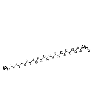 CC(C)CCCCCCCCCCCCCCCCCCCCCCCCCCN